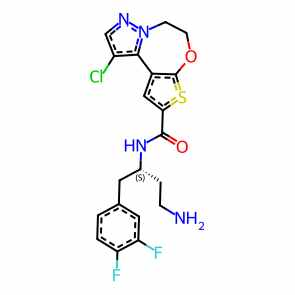 NCC[C@H](Cc1ccc(F)c(F)c1)NC(=O)c1cc2c(s1)OCCn1ncc(Cl)c1-2